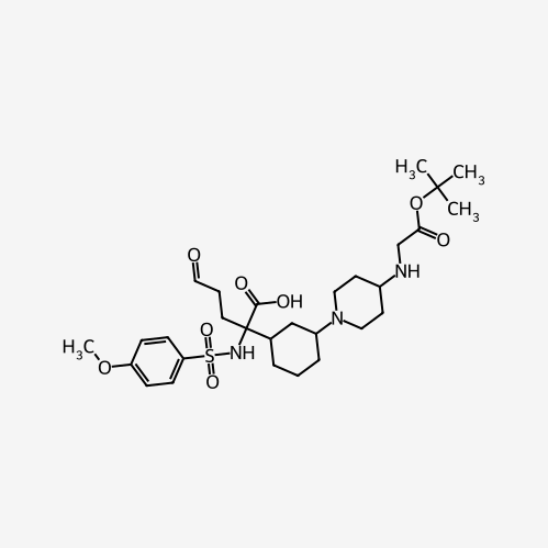 COc1ccc(S(=O)(=O)NC(CCC=O)(C(=O)O)C2CCCC(N3CCC(NCC(=O)OC(C)(C)C)CC3)C2)cc1